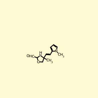 Cn1cccc1C=CC1(C)COC(C=O)N1